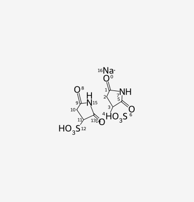 O=C1CC(S(=O)(=O)O)C(=O)N1.O=C1CC(S(=O)(=O)O)C(=O)N1.[Na]